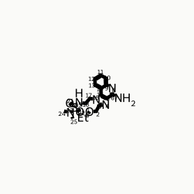 CCOCc1nc2c(N)nc3ccccc3c2n1CCNS(=O)(=O)N(C)C